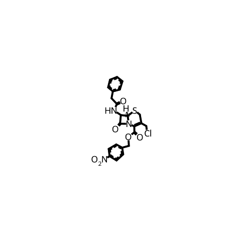 O=C(Cc1ccccc1)NC1C(=O)N2C(C(=O)OCc3ccc([N+](=O)[O-])cc3)=C(CCl)CS[C@@H]12